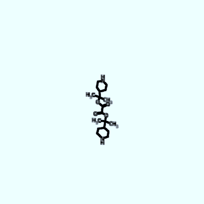 CC(C)(OC(=O)C(=O)OC(C)(C)C1CCNCC1)C1CCNCC1